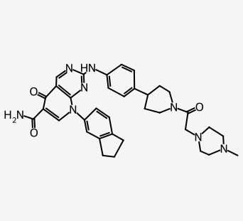 CN1CCN(CC(=O)N2CCC(c3ccc(Nc4ncc5c(=O)c(C(N)=O)cn(-c6ccc7c(c6)CCC7)c5n4)cc3)CC2)CC1